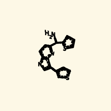 NC(c1ccc2ncc(-c3ccsc3)n2n1)c1cccs1